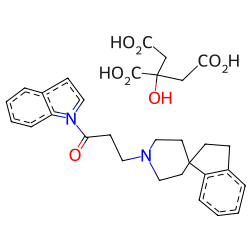 O=C(CCN1CCC2(CCc3ccccc32)CC1)n1ccc2ccccc21.O=C(O)CC(O)(CC(=O)O)C(=O)O